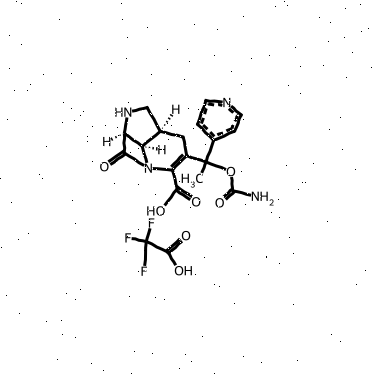 CC(OC(N)=O)(C1=C(C(=O)O)N2C(=O)[C@H]3NC[C@@H](C1)[C@H]32)c1ccncc1.O=C(O)C(F)(F)F